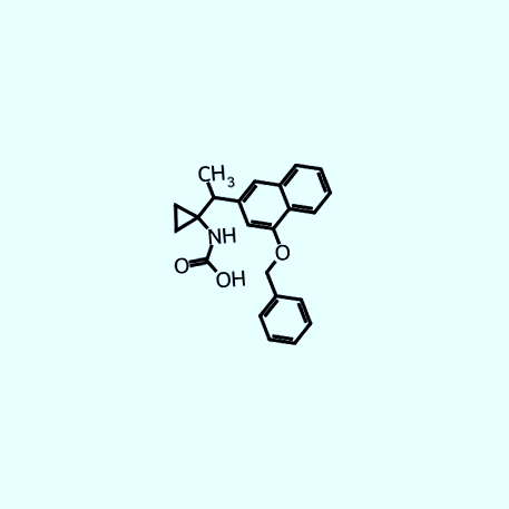 CC(c1cc(OCc2ccccc2)c2ccccc2c1)C1(NC(=O)O)CC1